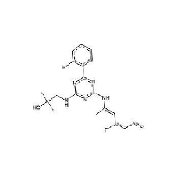 C=N/C=C(F)\C=C(/C)Nc1nc(NCC(C)(C)O)nc(-c2ccccc2F)n1